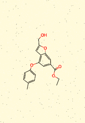 CCOC(=O)c1cc(Oc2ccc(C)cc2)c2cc(CO)oc2c1